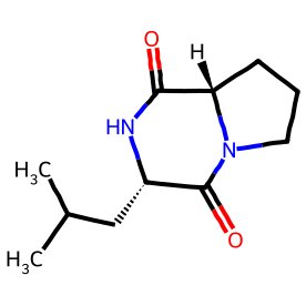 CC(C)C[C@@H]1NC(=O)[C@@H]2CCCN2C1=O